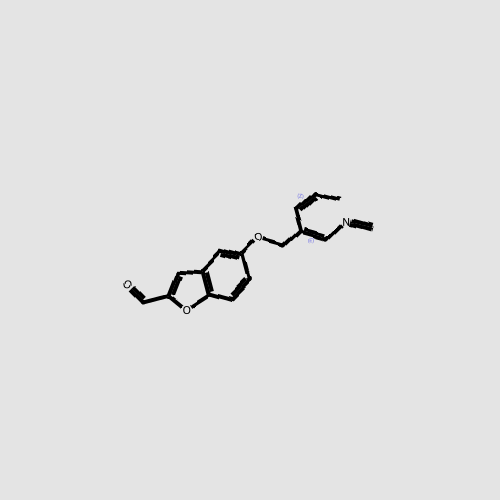 C=N/C=C(\C=C/C)COc1ccc2oc(C=O)cc2c1